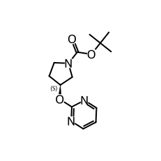 CC(C)(C)OC(=O)N1CC[C@H](Oc2ncccn2)C1